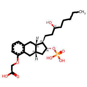 CCCCC[C@H](O)CC[C@@H]1[C@H]2Cc3cccc(OCC(=O)O)c3C[C@H]2C[C@H]1OP(=O)(O)O